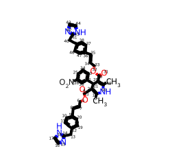 CC1=C(C(=O)OCC=Cc2ccc(Cc3ncc[nH]3)cc2)C(c2cccc([N+](=O)[O-])c2)C(C(=O)OCC=Cc2ccc(Cc3ncc[nH]3)cc2)=C(C)N1